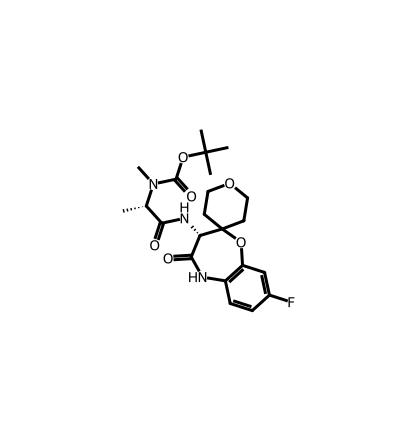 C[C@@H](C(=O)N[C@H]1C(=O)Nc2ccc(F)cc2OC12CCOCC2)N(C)C(=O)OC(C)(C)C